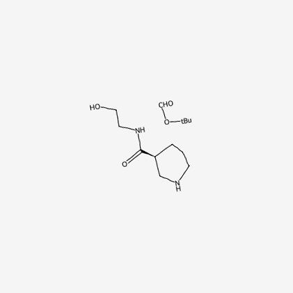 CC(C)(C)OC=O.O=C(NCCO)[C@H]1CCCNC1